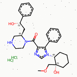 COC[C@]1(O)CCCC[C@H]1n1cnc(C(=O)N2CCNC[C@H]2C[C@H](O)c2ccccc2)c1-c1ccccc1.Cl.Cl